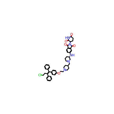 O=C1CCC(N2C(=O)c3ccc(NC4CCCN(CC5CCN(CCOc6ccc(C(=C(CCCl)c7ccccc7)c7ccccc7)cc6)CC5)C4)cc3C2=O)C(=O)N1